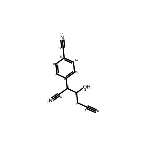 C#CCC(O)C(C#N)c1ccc(C#N)cc1